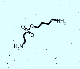 NCCCCOS(=O)(=O)CCN